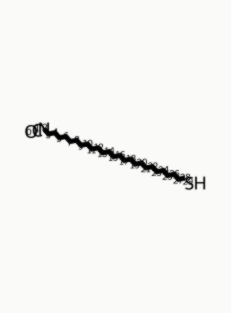 O=C=NCCCCCCCCCCCCCCCCCCCCCCCCCCS